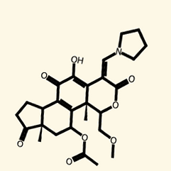 COCC1OC(=O)/C(=C\N2CCCC2)C2=C(O)C(=O)C3=C(C(OC(C)=O)C[C@]4(C)C(=O)CCC34)[C@]21C